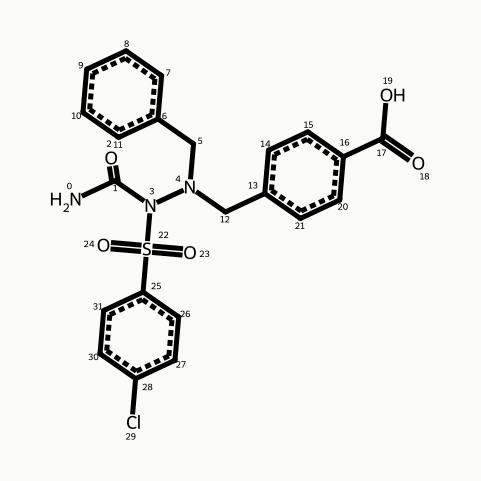 NC(=O)N(N(Cc1ccccc1)Cc1ccc(C(=O)O)cc1)S(=O)(=O)c1ccc(Cl)cc1